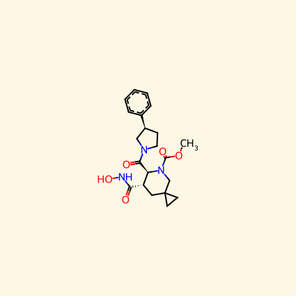 COC(=O)N1CC2(CC2)C[C@H](C(=O)NO)[C@H]1C(=O)N1CC[C@H](c2ccccc2)C1